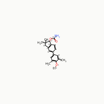 CCOc1c(C)cc(-c2ccc3c(c2)CC(C)(C)[C@H]3OC(N)=O)cc1C